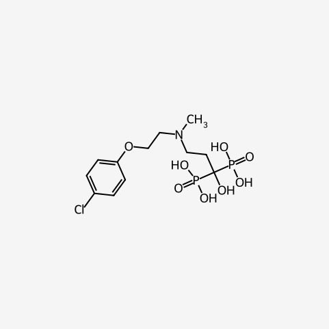 CN(CCOc1ccc(Cl)cc1)CCC(O)(P(=O)(O)O)P(=O)(O)O